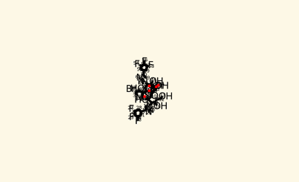 [O-][S+](C1(c2cncc(Br)c2)OC(CO)C(O)C(n2cc(-c3cc(F)c(F)c(F)c3)nn2)C1O)C1(c2cncc(Br)c2)OC(CO)C(O)C(n2cc(-c3cc(F)c(F)c(F)c3)nn2)C1O